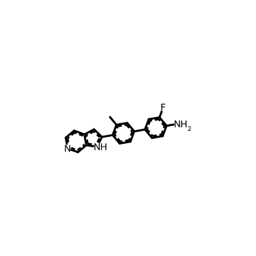 Cc1cc(-c2ccc(N)c(F)c2)ccc1-c1cc2ccncc2[nH]1